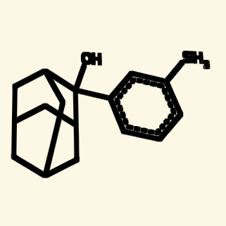 OC1(c2cccc([SiH3])c2)C2CC3CC(C2)CC1C3